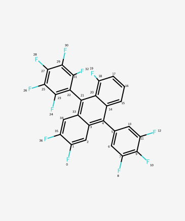 Fc1cc2c(-c3cc(F)c(F)c(F)c3)c3cccc(F)c3c(-c3c(F)c(F)c(F)c(F)c3F)c2cc1F